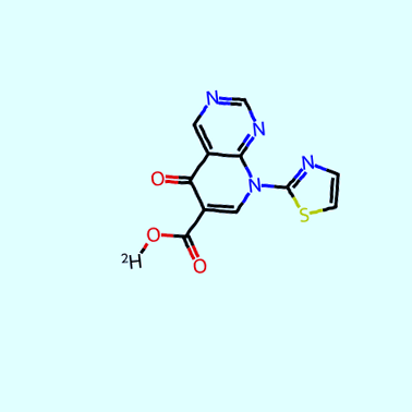 [2H]OC(=O)c1cn(-c2nccs2)c2ncncc2c1=O